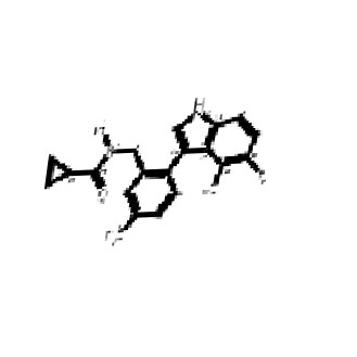 CCN(Cc1cc(C(F)(F)F)ccc1-c1c[nH]c2ccc(F)c(Cl)c12)C(=O)C1CC1